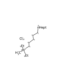 CCCCCCCCCCCC[N+](C)(CC)CC.[Cl-]